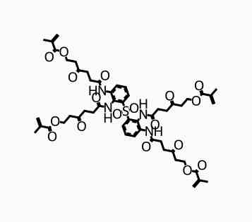 C=C(C)C(=O)OCCC(=O)CCC(=O)Nc1cccc(S(=O)(=O)c2cccc(NC(=O)CCC(=O)CCOC(=O)C(=C)C)c2NC(=O)CCC(=O)CCOC(=O)C(=C)C)c1NC(=O)CCC(=O)CCOC(=O)C(=C)C